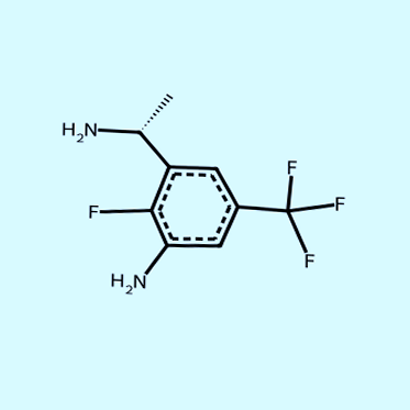 C[C@@H](N)c1cc(C(F)(F)F)cc(N)c1F